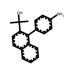 CC(C)(O)c1ccc2ccccc2c1-c1ccc(N)cc1